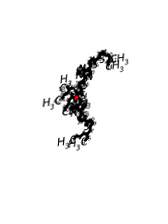 CCCCC(CC)Cc1ccc(-c2ccc(-c3cnc(-c4cc5c(s4)-c4sc(-c6ncc(-c7ccc(-c8ccc(CC(C)CC)s8)s7)c7nsnc67)cc4[Si]5(CC(CC)CCCC)CC(CC)CCCC)c4nsnc34)s2)s1